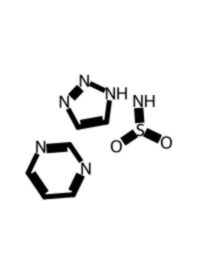 N=S(=O)=O.c1c[nH]nn1.c1cncnc1